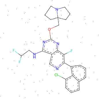 Fc1c(-c2cccc3cccc(Cl)c23)ncc2c(NCC(F)F)nc(OCC34CCCN3CCC4)nc12